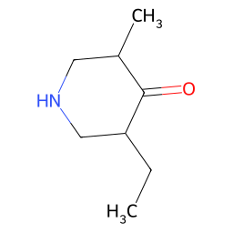 CCC1CNCC(C)C1=O